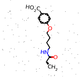 C=CC(=O)NCCCCOc1ccc(C(=O)O)cc1